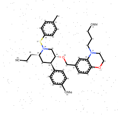 COCCCN1CCOc2ccc(CO[C@H]3CN(Sc4ccc(C)cc4)[C@@H](CCC#N)C[C@@H]3c3ccc(OC)cc3)cc21